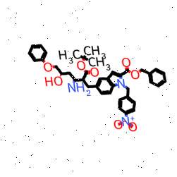 CC(C)(C)OC(=O)C(Cc1ccc2c(c1)cc(C(=O)OCc1ccccc1)n2Cc1ccc([N+](=O)[O-])cc1)C(N)C[C@H](O)COc1ccccc1